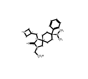 CN(C)[C@]1(c2ccccc2)CC[C@@]2(CC1)CN(CC(=O)O)C(=O)N2CC1COC1